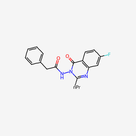 CCCc1nc2cc(F)ccc2c(=O)n1NC(=O)Cc1ccccc1